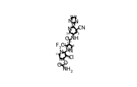 N#Cc1cc(NC(=O)c2cnn(-c3nccc(OC(N)=O)c3Cl)c2C(F)(F)F)cnc1-n1nccn1